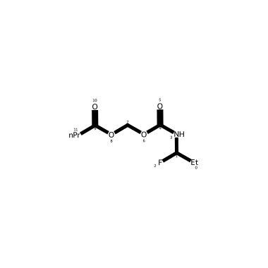 [CH2]CC(F)NC(=O)OCOC(=O)CCC